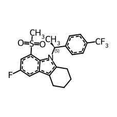 C[C@@H](c1ccc(C(F)(F)F)cc1)n1c2c(c3cc(F)cc(S(C)(=O)=O)c31)CCCC2